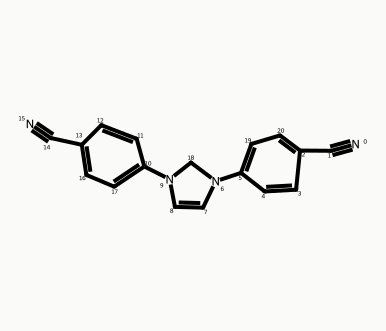 N#Cc1ccc(N2C=CN(c3ccc(C#N)cc3)C2)cc1